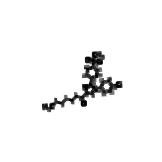 CCCCCCC(=O)c1cn(-c2ccc(Cl)cc2)c(-c2ccc(S(C)(=O)=O)cc2)n1